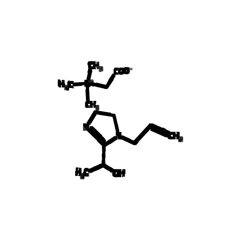 C=CCN1CCN=C1C(C)O.C[N+](C)(C)CC(=O)[O-]